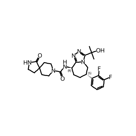 CC(C)(O)c1nnc2n1C[C@H](c1cccc(F)c1F)CC[C@H]2NC(=O)N1CCC2(CCNC2=O)CC1